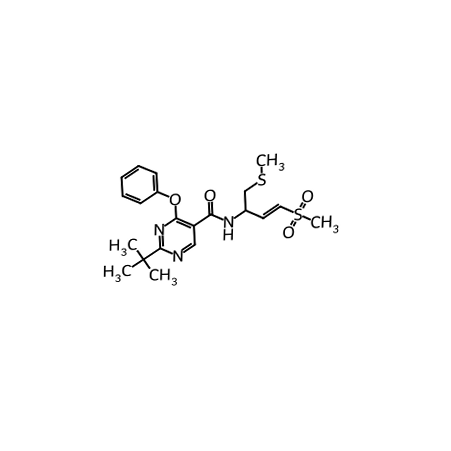 CSCC(C=CS(C)(=O)=O)NC(=O)c1cnc(C(C)(C)C)nc1Oc1ccccc1